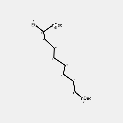 [CH2]CCCCCCCCCCCCCCCCC(CC)CCCCCCCCC[CH2]